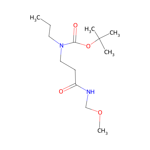 CCCN(CCC(=O)NCOC)C(=O)OC(C)(C)C